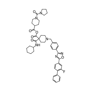 O=C(OC(=O)C1(C(=O)NC2CCCCC2)CCN(Cc2ccc(-c3noc(-c4ccc(-c5ccccc5)c(F)c4)n3)cc2)CC1)C1CCN(C(=O)N2CCCC2)CC1